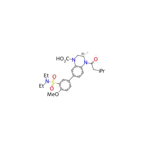 CCN(CC)S(=O)(=O)c1cc(-c2ccc3c(c2)N(C(=O)O)C[C@H](C)N3C(=O)CC(C)C)ccc1OC